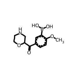 COc1ccc(C(=O)C2CNCCO2)cc1B(O)O